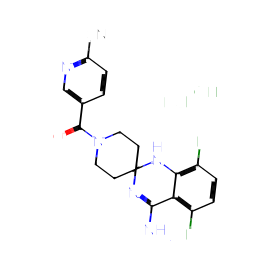 Cl.Cl.N#Cc1ccc(C(=O)N2CCC3(CC2)N=C(N)c2c(F)ccc(F)c2N3)cn1